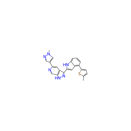 Cc1ccc(-c2cccc3[nH]c(-c4n[nH]c5cnc(-c6cnn(C)c6)cc45)cc23)s1